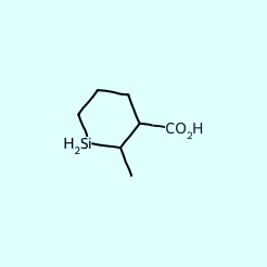 CC1[SiH2]CCCC1C(=O)O